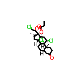 CCC(=O)O[C@@]1(C(=O)CCl)[C@@H](C)C[C@H]2[C@@H]3CC[C@H]4CC(=O)CC[C@]4(C)[C@@]3(Cl)[C@@H](Cl)C[C@@]21C